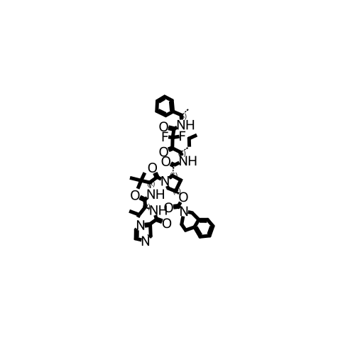 CCC[C@H](NC(=O)[C@@H]1C[C@@H](OC(=O)N2CCc3ccccc3C2)CN1C(=O)[C@H](NC(=O)[C@H](NC(=O)c1cnccn1)C(C)C)C(C)(C)C)C(=O)C(F)(F)C(=O)N[C@@H](C)c1ccccc1